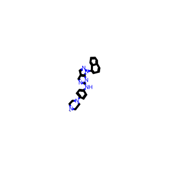 CN1CCN(c2ccc(Nc3ncc4cnn(-c5cccc6ccccc56)c4n3)cc2)CC1